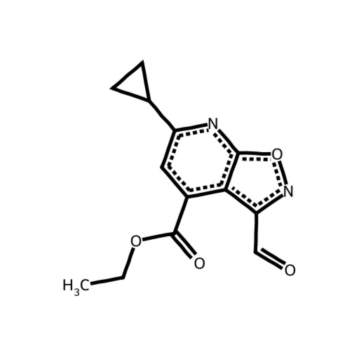 CCOC(=O)c1cc(C2CC2)nc2onc(C=O)c12